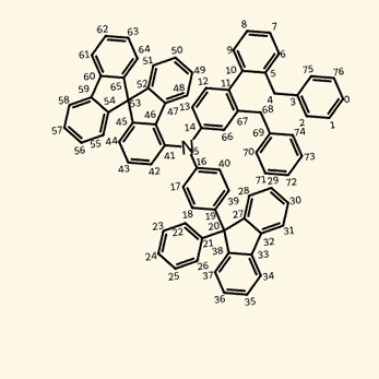 c1ccc(Cc2ccccc2-c2ccc(N(c3ccc(C4(c5ccccc5)c5ccccc5-c5ccccc54)cc3)c3cccc4c3-c3ccccc3C43c4ccccc4-c4ccccc43)cc2Cc2ccccc2)cc1